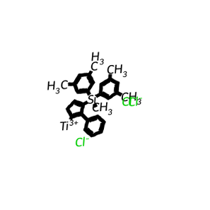 Cc1cc(C)cc([Si](C)(C2=CC[C]([Ti+3])=C2c2ccccc2)c2cc(C)cc(C)c2)c1.[Cl-].[Cl-].[Cl-]